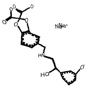 O=C([O-])C1(C(=O)[O-])Oc2ccc(CNCC(O)c3cccc(Cl)c3)cc2O1.[Na+].[Na+]